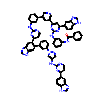 O=C(Nc1cccc(Nc2nc(-c3cncc(-c4cccc(Nc5nccc(-c6cc7nc[nH]c7cc6-c6cccc(-n7cc(Nc8nccc(-c9ccc%10[nH]cnc%10c9)n8)cn7)c6)n5)c4)c3)cc(-c3ccc4[nH]cnc4c3)n2)c1)c1ccccc1